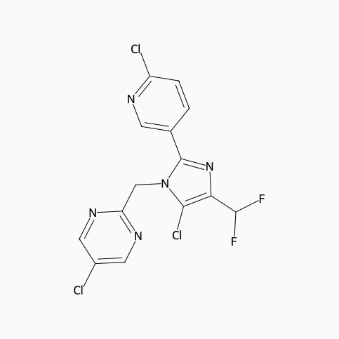 FC(F)c1nc(-c2ccc(Cl)nc2)n(Cc2ncc(Cl)cn2)c1Cl